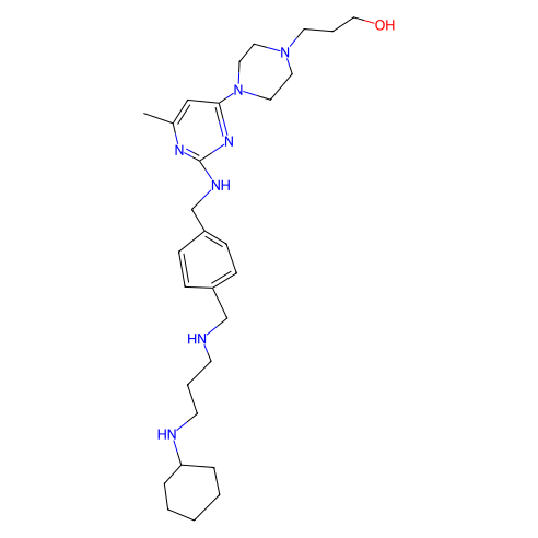 Cc1cc(N2CCN(CCCO)CC2)nc(NCc2ccc(CNCCCNC3CCCCC3)cc2)n1